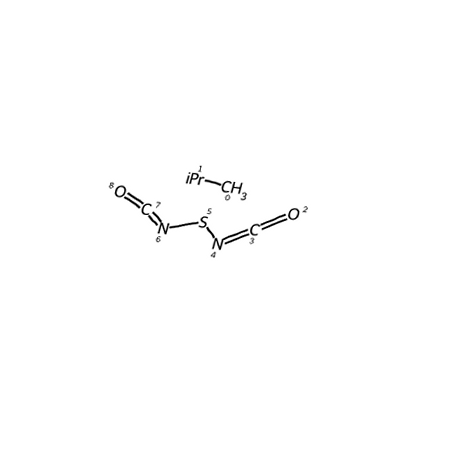 CC(C)C.O=C=NSN=C=O